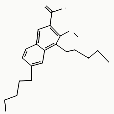 CCCCCc1ccc2cc(C(=O)O)c(OC)c(CCCCC)c2c1